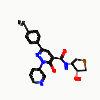 O=C(N[C@@H]1CSC[C@@H]1O)c1cc(-c2ccc(C(F)(F)F)cc2)nn(-c2cccnc2)c1=O